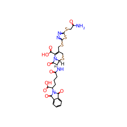 NC(=O)CSc1nnc(SCC2=C(C(=O)O)N3C(=O)[C@@H](NC(=O)CCCC(C(=O)O)N4C(=O)c5ccccc5C4=O)[C@@H]3SC2)s1